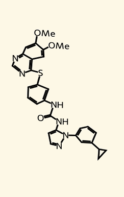 COc1cc2ncnc(Sc3cccc(NC(=O)Nc4ccnn4-c4cccc(C5CC5)c4)c3)c2cc1OC